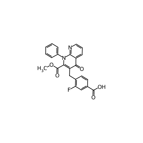 COC(=O)c1c(Cc2ccc(C(=O)O)cc2F)c(=O)c2cccnc2n1-c1ccccc1